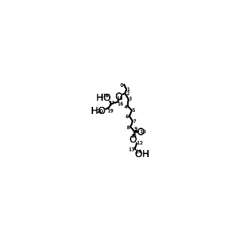 CCC(CCCCCCC(=O)OCCO)OCC(O)CO